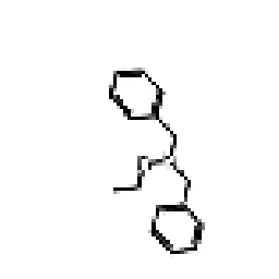 CCON(Cc1ccccc1)Cc1ccccc1